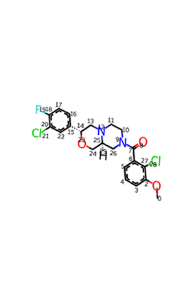 COc1cccc(C(=O)N2CCN3C[C@@H](c4ccc(F)c(Cl)c4)OC[C@@H]3C2)c1Cl